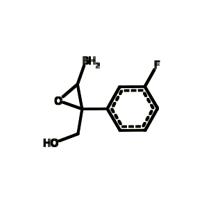 BC1OC1(CO)c1cccc(F)c1